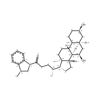 C[C@H](CCC(=O)N1CN(C)c2ccccc21)[C@H]1CC[C@H]2[C@@H]3[C@H](O)C[C@@H]4C[C@H](O)CC[C@]4(C)[C@H]3CC[C@]12C